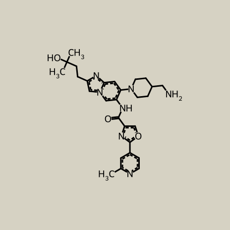 Cc1cc(-c2nc(C(=O)Nc3cn4cc(CCC(C)(C)O)nc4cc3N3CCC(CN)CC3)co2)ccn1